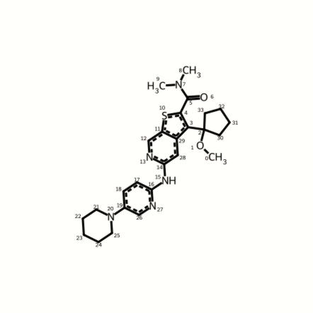 COC1(c2c(C(=O)N(C)C)sc3cnc(Nc4ccc(N5CCCCC5)cn4)cc23)CCCC1